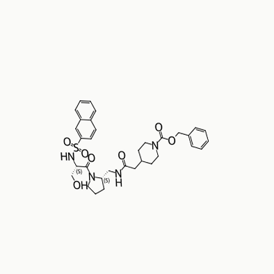 O=C(CC1CCN(C(=O)OCc2ccccc2)CC1)NC[C@@H]1CCCN1C(=O)[C@H](CO)NS(=O)(=O)c1ccc2ccccc2c1